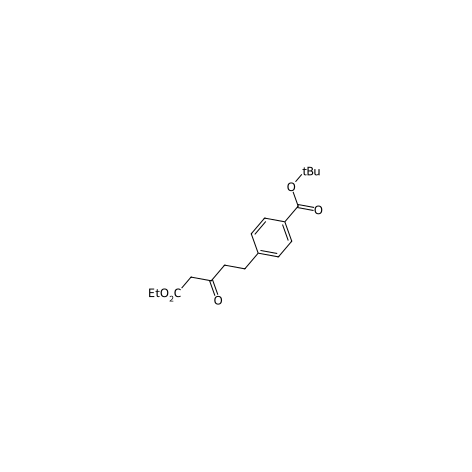 CCOC(=O)CC(=O)CCc1ccc(C(=O)OC(C)(C)C)cc1